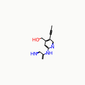 C=C(C=N)Nc1cc(CO)c(C#CC)cn1